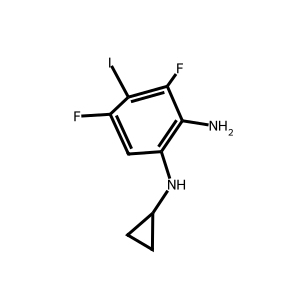 Nc1c(NC2CC2)cc(F)c(I)c1F